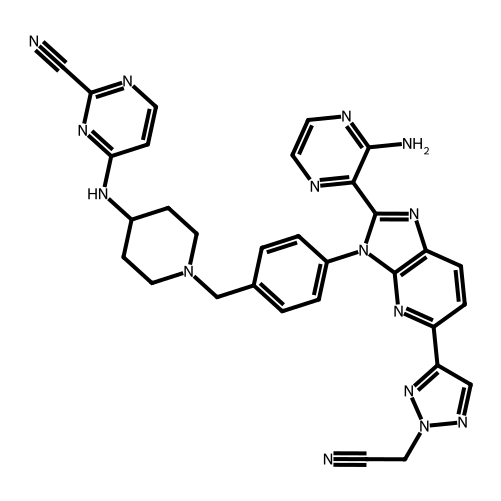 N#CCn1ncc(-c2ccc3nc(-c4nccnc4N)n(-c4ccc(CN5CCC(Nc6ccnc(C#N)n6)CC5)cc4)c3n2)n1